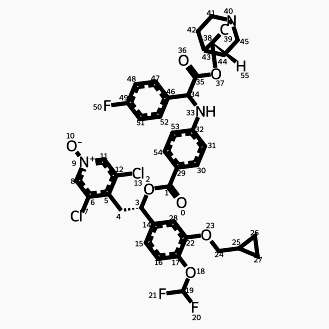 O=C(O[C@@H](Cc1c(Cl)c[n+]([O-])cc1Cl)c1ccc(OC(F)F)c(OCC2CC2)c1)c1ccc(NC(C(=O)O[C@H]2CN3CCC2CC3)c2ccc(F)cc2)cc1